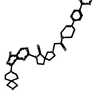 Cn1cnc(-c2ccc(C3=CCN(C(=O)CN4CCC5(CCN(c6ccc7[nH]nc(N8CCC9(CC8)COC9)c7n6)C5=O)C4)CC3)cc2)n1